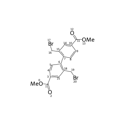 COC(=O)c1ccc(-c2ccc(C(=O)OC)cc2CBr)c(CBr)c1